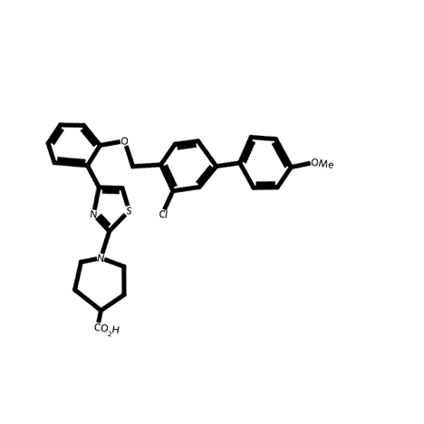 COc1ccc(-c2ccc(COc3ccccc3-c3csc(N4CCC(C(=O)O)CC4)n3)c(Cl)c2)cc1